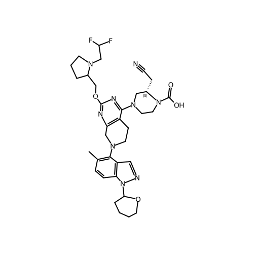 Cc1ccc2c(cnn2C2CCCCO2)c1N1CCc2c(nc(OCC3CCCN3CC(F)F)nc2N2CCN(C(=O)O)[C@@H](CC#N)C2)C1